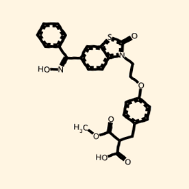 COC(=O)C(Cc1ccc(OCCn2c(=O)sc3cc(C(=NO)c4ccccc4)ccc32)cc1)C(=O)O